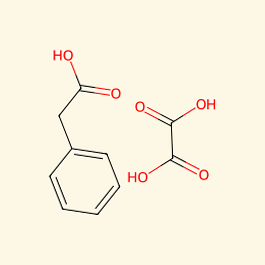 O=C(O)C(=O)O.O=C(O)Cc1ccccc1